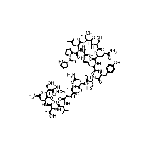 CC(C)C[C@H](NC(=O)[C@@H]1CCCN1C(=O)[C@@H]1CCCN1)C(=O)N[C@H](C(=O)N[C@@H](CS)C(=O)N[C@@H](CCC(N)=O)C(=O)N[C@@H](CCCNC(=N)N)C(=O)N[C@@H](Cc1ccc(O)cc1)C(=O)N[C@@H](CS)C(=O)N[C@@H](CC(N)=O)C(=O)N[C@@H](C)C(=O)N[C@@H](CO)C(=O)N[C@H](C(=O)N[C@H](C(=O)N[C@@H](CC(N)=O)C(=O)N[C@@H](CO)C(=O)O)[C@@H](C)O)C(C)C)[C@@H](C)O